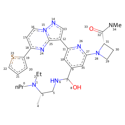 CCCN(CC)[C@@H](C)CNC(O)c1cc(-c2cnn3ccc(-c4cccs4)nc23)nc(N2CC[C@H]2C(=O)NC)c1